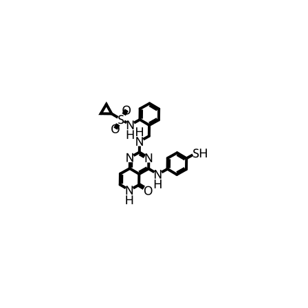 O=c1[nH]ccc2nc(NCc3ccccc3NS(=O)(=O)C3CC3)nc(Nc3ccc(S)cc3)c12